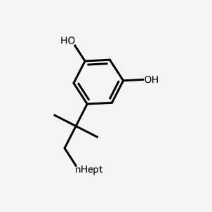 CCCCCCCCC(C)(C)c1cc(O)cc(O)c1